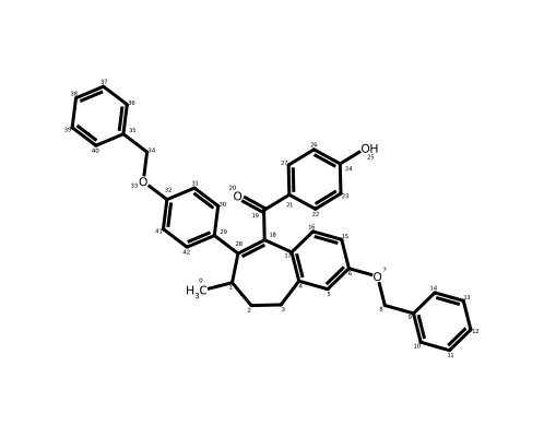 CC1CCc2cc(OCc3ccccc3)ccc2C(C(=O)c2ccc(O)cc2)=C1c1ccc(OCc2ccccc2)cc1